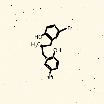 C=C(Cc1cc(C(C)C)ccc1O)Cc1cc(C(C)C)ccc1O